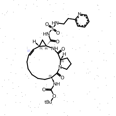 CC(C)(C)OC(=O)N[C@H]1CCCCC/C=C\[C@@H]2C[C@@]2(C(=O)NS(=O)(=O)NCCc2ccccn2)NC(=O)[C@@H]2CCCN2C1=O